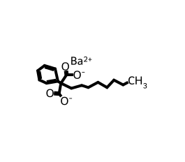 CCCCCCCCC(C(=O)[O-])(C(=O)[O-])c1ccccc1.[Ba+2]